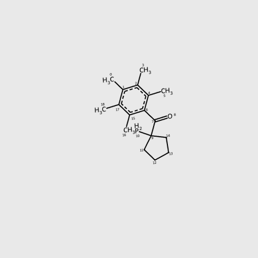 Cc1c(C)c(C)c(C(=O)C2(P)CCCC2)c(C)c1C